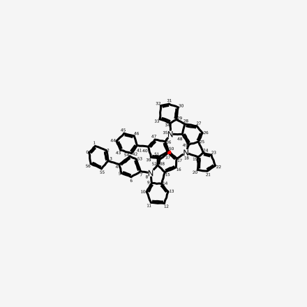 c1ccc(-c2ccc(-n3c4ccccc4c4cc(-n5c6ccccc6c6ccc7c8ccccc8n(-c8cccc(-c9ccccc9)c8)c7c65)ccc43)cc2)cc1